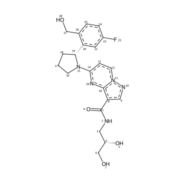 O=C(NC[C@H](O)CO)c1cnn2ccc(N3CCC[C@@H]3c3cc(F)ccc3CO)nc12